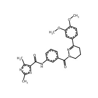 COc1ccc(C2=NN(C(=O)c3cccc(NC(=O)c4sc(C)nc4C)c3)CCC2)cc1OC